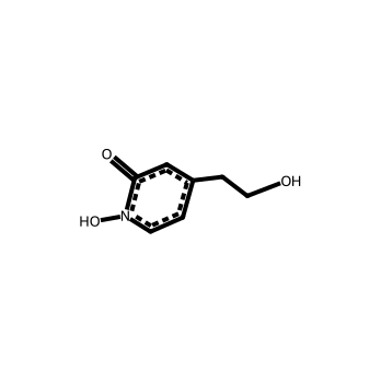 O=c1cc(CCO)ccn1O